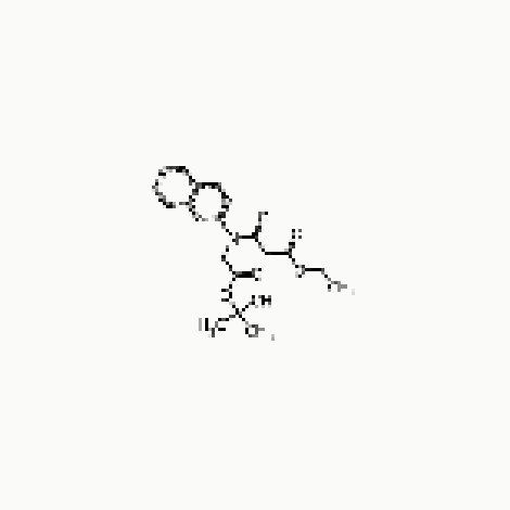 CCOC(=O)CC(=O)N(CC(=O)OC(C)(C)C)c1ccc2ccccc2c1